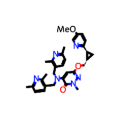 COc1ccc([C@H]2C[C@@H]2COc2cc(N(Cc3ccc(C)nc3C)Cc3ccc(C)nc3C)c(=O)n(C)n2)nc1